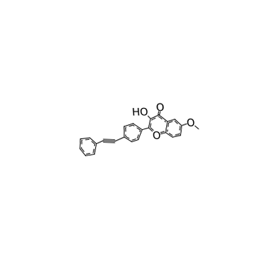 COc1ccc2oc(-c3ccc(C#Cc4ccccc4)cc3)c(O)c(=O)c2c1